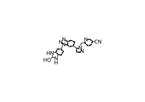 N#Cc1ccc(Cn2nccc2-c2ccc3nnn(-c4ccc5c(c4)NC(O)N5)c3c2)nc1